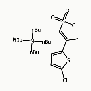 CC(=CS(=O)(=O)Cl)c1ccc(Cl)s1.CCCC[N+](CCCC)(CCCC)CCCC.[I-]